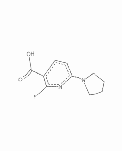 O=C(O)c1ccc(N2CCCC2)nc1F